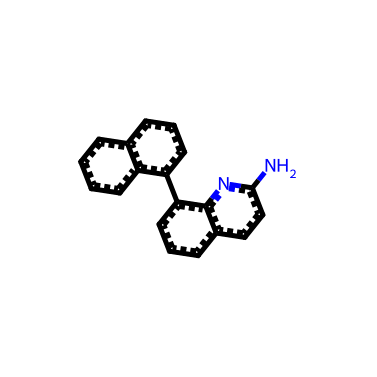 Nc1ccc2cccc(-c3cccc4ccccc34)c2n1